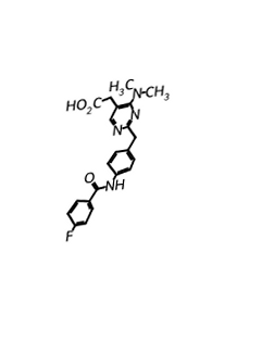 CN(C)c1nc(Cc2ccc(NC(=O)c3ccc(F)cc3)cc2)ncc1CC(=O)O